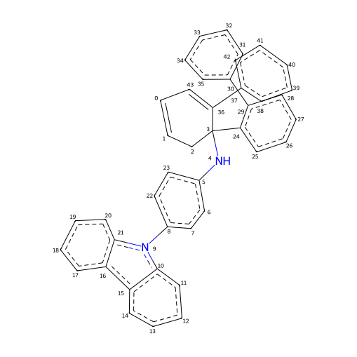 C1=CCC(Nc2ccc(-n3c4ccccc4c4ccccc43)cc2)(c2ccccc2-c2ccccc2)C(c2ccccc2)=C1